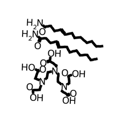 CCCCCCCC=CCCC(N)=O.CCCCCCCC=CCCC(N)=O.O=C(O)CN(CCN(CC(=O)O)CC(=O)O)CCN(CC(=O)O)CC(=O)O